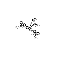 C=CC(=O)OCCCCC1(CCCCOC(=O)C=C)c2cc(-c3ccc4c(c3)C(C)(CCC(F)(F)F)c3ccccc3-4)ccc2-c2ccc(-c3ccc4c(c3)C(C)(CCC(F)(F)F)c3ccccc3-4)cc21